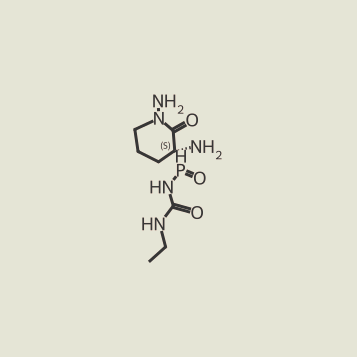 CCNC(=O)N[PH](=O)[C@@]1(N)CCCN(N)C1=O